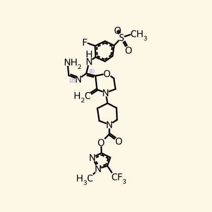 C=C1/C(=C(\N=C/N)Nc2ccc(S(C)(=O)=O)cc2F)OCCN1C1CCN(C(=O)Oc2cc(C(F)(F)F)n(C)n2)CC1